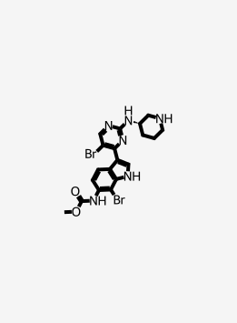 COC(=O)Nc1ccc2c(-c3nc(N[C@H]4CCCNC4)ncc3Br)c[nH]c2c1Br